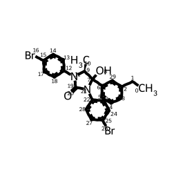 CCc1cccc(C2(O)[C@H](C)N(c3ccc(Br)cc3)C(=O)N2c2ccc(Br)cc2)c1